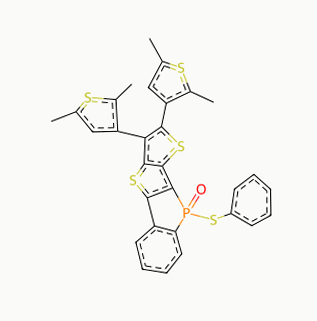 Cc1cc(-c2sc3c4c(sc3c2-c2cc(C)sc2C)-c2ccccc2P4(=O)Sc2ccccc2)c(C)s1